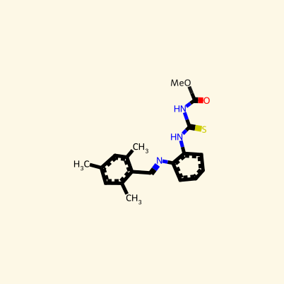 COC(=O)NC(=S)Nc1ccccc1N=Cc1c(C)cc(C)cc1C